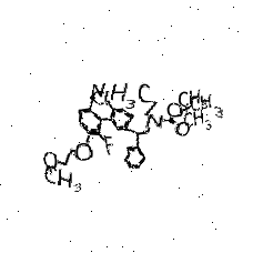 CCCN(CC(c1ccccc1)c1ccc(Cl)c(-c2c(C#N)ccc(OCCOC)c2F)c1)C(=O)OC(C)(C)C